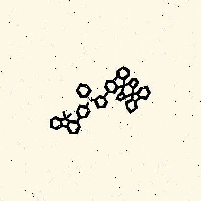 CC1(C)c2ccccc2-c2cccc(-c3ccc(N(c4ccccc4)c4cccc(-c5ccc6c(c5)C5(c7ccccc7-6)c6ccccc6C6(c7ccccc7-c7ccccc76)c6ccccc65)c4)cc3)c21